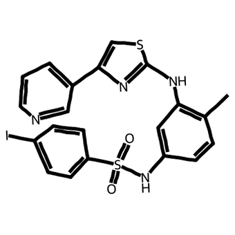 Cc1ccc(NS(=O)(=O)c2ccc(I)cc2)cc1Nc1nc(-c2cccnc2)cs1